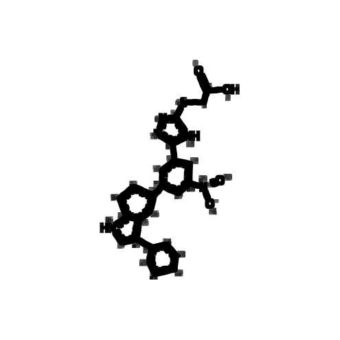 O=C(O)CSc1nnc(-c2cc(-c3ccc4[nH]cc(-c5ccccc5)c4c3)cc([N+](=O)[O-])c2)[nH]1